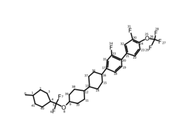 CC1CCC(C(F)(F)OC2CCC(C3CCC(c4ccc(-c5ccc(OC(F)(F)F)c(F)c5)c(F)c4)CC3)CC2)CC1